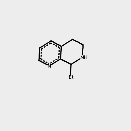 CCC1NCCc2cccnc21